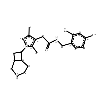 Cc1nn(C2CC3CNCCC32)c(C)c1CC(=O)NCc1ccc(F)cc1Cl